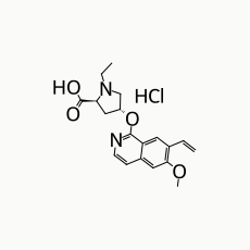 C=Cc1cc2c(O[C@@H]3C[C@@H](C(=O)O)N(CC)C3)nccc2cc1OC.Cl